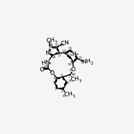 Cc1ccc2c(c1)[C@@H](C)Oc1cc(cnc1N)-c1c(nn(C)c1C#N)NC(=O)O2